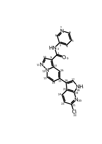 O=C(Nc1cccnc1)c1cnn2ccc(-c3c[nH]c4nc(Cl)ccc34)cc12